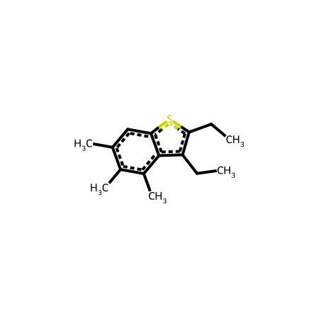 CCc1sc2cc(C)c(C)c(C)c2c1CC